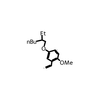 [CH]=Cc1cc(OCC(CC)CCCC)[c]cc1OC